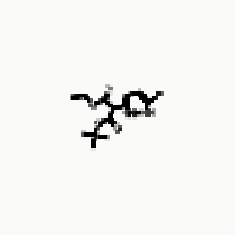 CCOC(=O)C(C(=O)OC(C)(C)C)C1=CC=C(Cl)NN1